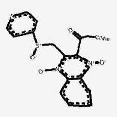 COC(=O)c1c(C[S+]([O-])c2ccncc2)[n+]([O-])c2ccccc2[n+]1[O-]